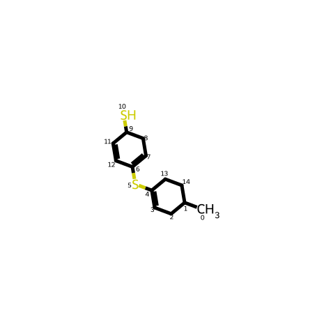 CC1CC=C(SC2=CCC(S)C=C2)CC1